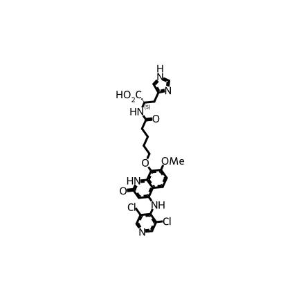 COc1ccc2c(Nc3c(Cl)cncc3Cl)cc(=O)[nH]c2c1OCCCCC(=O)N[C@@H](Cc1c[nH]cn1)C(=O)O